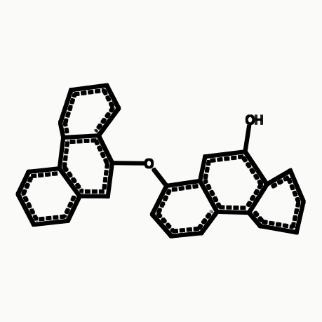 Oc1cc2c(Oc3cc4ccccc4c4ccccc34)cccc2c2ccccc12